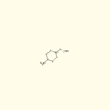 BC1CCN(CC(C)C)CC1